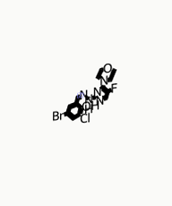 Oc1c(Cl)cc(Br)cc1/C=N\Nc1ncc(F)c(N2CCOCC2)n1